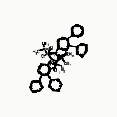 C[SiH](C)[Zr]([Cl])([Cl])([CH]1C(C(C)(C)C)=Cc2c1ccc(-c1ccccc1)c2-c1ccccc1)[CH]1C(C(C)(C)C)=Cc2c1ccc(-c1ccccc1)c2-c1ccccc1